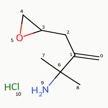 C=C(CC1CO1)C(C)(C)N.Cl